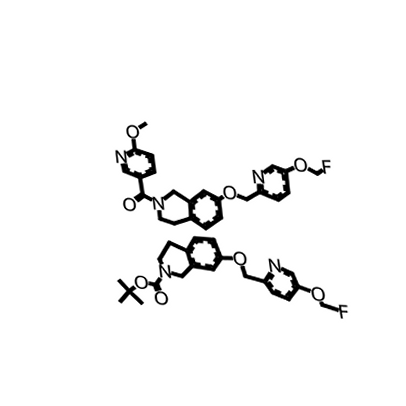 CC(C)(C)OC(=O)N1CCc2ccc(OCc3ccc(OCF)cn3)cc2C1.COc1ccc(C(=O)N2CCc3ccc(OCc4ccc(OCF)cn4)cc3C2)cn1